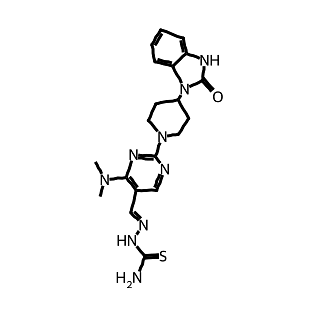 CN(C)c1nc(N2CCC(n3c(=O)[nH]c4ccccc43)CC2)ncc1C=NNC(N)=S